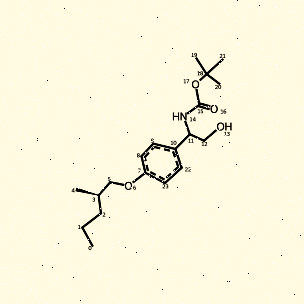 CCC[C@@H](C)COc1ccc(C(CO)NC(=O)OC(C)(C)C)cc1